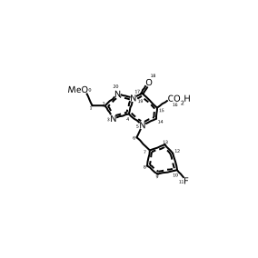 COCc1nc2n(Cc3ccc(F)cc3)cc(C(=O)O)c(=O)n2n1